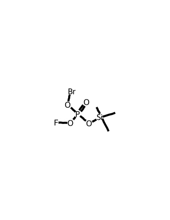 C[Si](C)(C)OP(=O)(OF)OBr